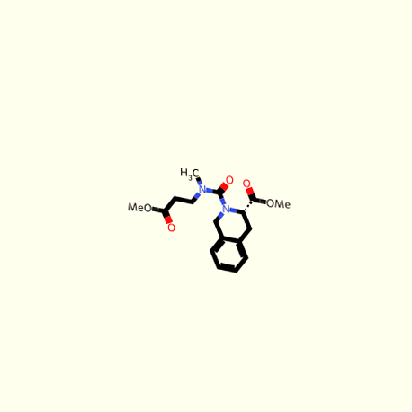 COC(=O)CCN(C)C(=O)N1Cc2ccccc2C[C@H]1C(=O)OC